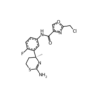 C[C@@]1(c2cc(NC(=O)c3coc(CCl)n3)ccc2F)CCSC(N)=N1